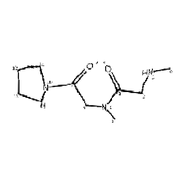 CNCC(=O)N(C)CC(=O)N1CCCC1